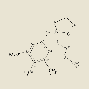 COc1cc(C[N+]2(CCCO)CCCC2)cc(C)c1C